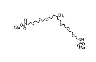 C=C(CCCOCCOCCOCCNC(=O)OC(C)(C)C)CCOCCOCCOCCNC(=O)OC(C)(C)C